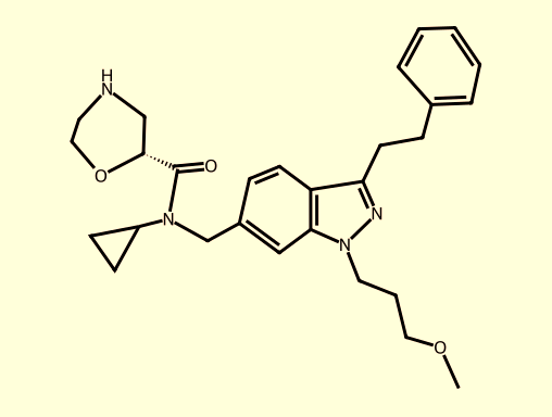 COCCCn1nc(CCc2ccccc2)c2ccc(CN(C(=O)[C@H]3CNCCO3)C3CC3)cc21